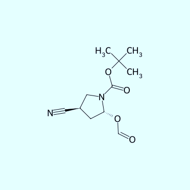 CC(C)(C)OC(=O)N1C[C@H](C#N)C[C@H]1OC=O